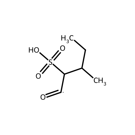 CCC(C)C([C]=O)S(=O)(=O)O